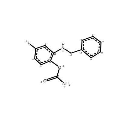 NC(=O)Oc1ccc(F)cc1NCc1ccccc1